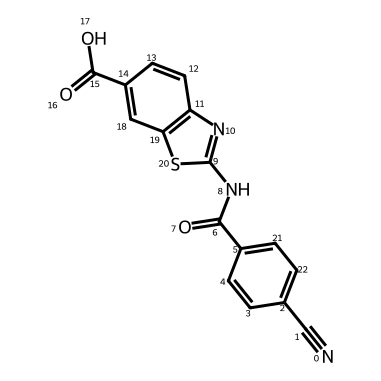 N#Cc1ccc(C(=O)Nc2nc3ccc(C(=O)O)cc3s2)cc1